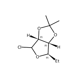 CC[C@H]1OC(Cl)[C@@H]2OC(C)(C)O[C@H]12